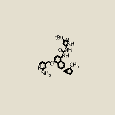 CC(C)(C)c1cc(NC(=O)Nc2ccc(OCc3ccnc(N)c3)c3ccccc23)[nH]n1.Cc1ccc2cc1-2